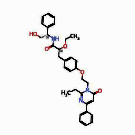 CCO[C@H](Cc1ccc(OCCn2c(CC)nc(-c3ccccc3)cc2=O)cc1)C(=O)N[C@H](CO)c1ccccc1